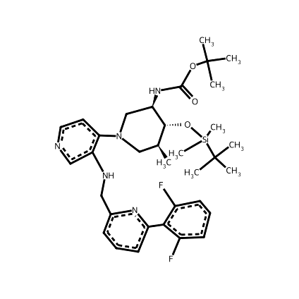 C[C@H]1CN(c2ccncc2NCc2cccc(-c3c(F)cccc3F)n2)C[C@@H](NC(=O)OC(C)(C)C)[C@@H]1O[Si](C)(C)C(C)(C)C